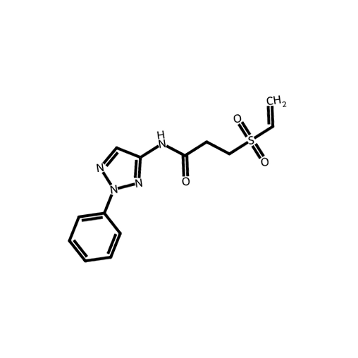 C=CS(=O)(=O)CCC(=O)Nc1cnn(-c2ccccc2)n1